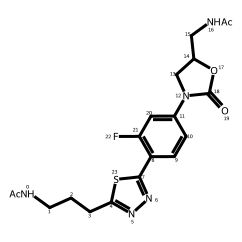 CC(=O)NCCCc1nnc(-c2ccc(N3CC(CNC(C)=O)OC3=O)cc2F)s1